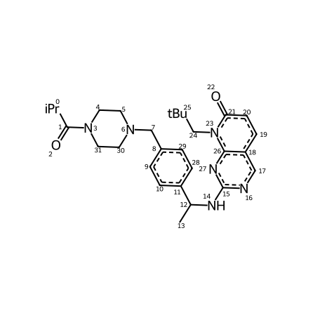 CC(C)C(=O)N1CCN(Cc2ccc(C(C)Nc3ncc4ccc(=O)n(CC(C)(C)C)c4n3)cc2)CC1